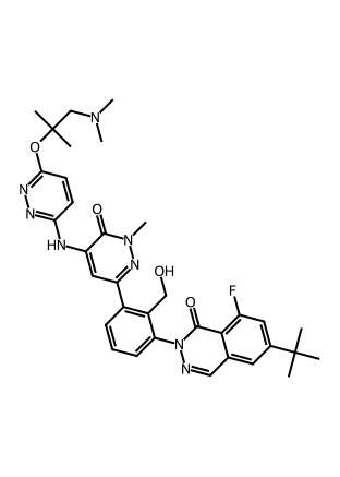 CN(C)CC(C)(C)Oc1ccc(Nc2cc(-c3cccc(-n4ncc5cc(C(C)(C)C)cc(F)c5c4=O)c3CO)nn(C)c2=O)nn1